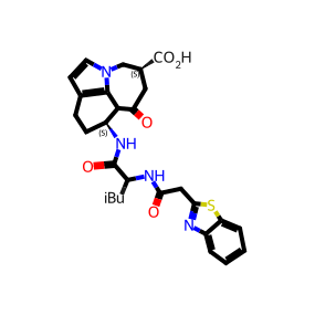 CCC(C)C(NC(=O)Cc1nc2ccccc2s1)C(=O)N[C@H]1CCc2ccn3c2C1C(=O)C[C@H](C(=O)O)C3